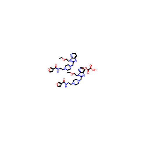 CCOCCn1c(CN2CCN(CCNC(=O)c3ccoc3)CC2)nc2cccnc21.CCOCCn1c(CN2CCN(CCNC(=O)c3ccoc3)CC2)nc2cccnc21.O=C(O)C(=O)O